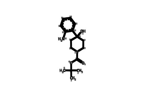 CC(C)(C)OC(=O)N1CCC(O)(c2ccccc2N)CC1